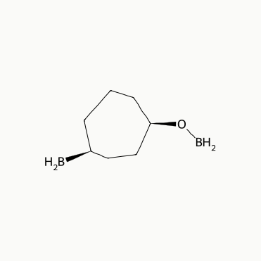 BO[C@@H]1CCC[C@H](B)CC1